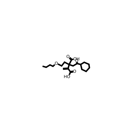 C=C(C(=O)O)C(CCOCCCC)(CC(=O)C1CCCCC1)C(=O)O